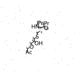 CC(=O)COCC(O)CSCC[C@H](NC(C)C)C(=O)C(C)C